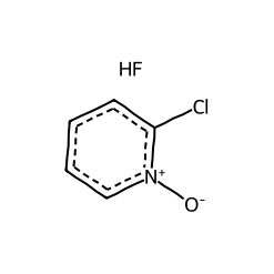 F.[O-][n+]1ccccc1Cl